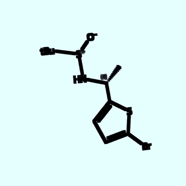 C[C@@H](N[S+]([O-])C(C)(C)C)c1ccc(Br)s1